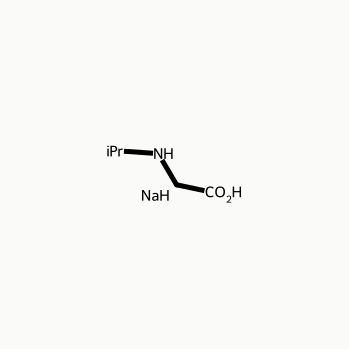 CC(C)NCC(=O)O.[NaH]